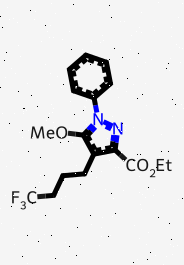 CCOC(=O)c1nn(-c2ccccc2)c(OC)c1CCCC(F)(F)F